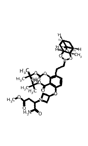 COC(=O)CC(C(N)=O)N1CC(Oc2ccc(CCB3O[C@@H]4C[C@@H]5C[C@@H](C5(C)C)[C@]4(C)O3)c(OC(=O)OC(C)(C)C)c2C(=O)OC(C)(C)C)C1